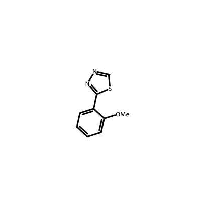 COc1ccccc1-c1nn[c]s1